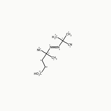 CC(C)(C#N)N=NC(C)(C#N)CCC(=O)O